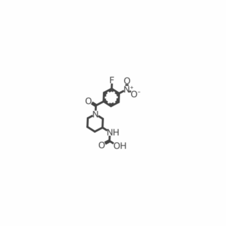 O=C(O)NC1CCCN(C(=O)c2ccc([N+](=O)[O-])c(F)c2)C1